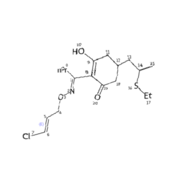 CCCC(=NOC/C=C/Cl)C1=C(O)CC(CC(C)SCC)CC1=O